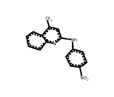 O=[N+]([O-])c1ccc(Nc2cc(C(F)(F)F)c3ccccc3n2)cc1